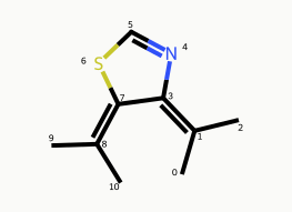 CC(C)=c1ncsc1=C(C)C